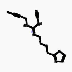 CC#CCN/C(=N/CCSCc1nccs1)NC#N